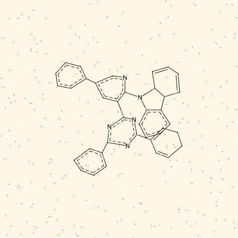 C1=CC2c3ccccc3N(c3ncc(-c4ccccc4)cc3-c3nc(C4=CCCC=C4)nc(-c4ccccc4)n3)C2C=C1